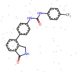 O=C(Nc1ccc(-c2cccc3c2CNC3=O)cc1)Nc1ccc(C(F)(F)F)cc1